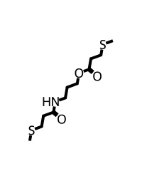 CSCCC(=O)NCCCOC(=O)CCSC